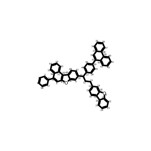 c1ccc(-c2cc3oc4cc(C(CCc5ccc6c(c5)oc5ccccc56)c5ccc(-c6cc7ccccc7c7ccccc67)cc5)ccc4c3c3ccccc23)cc1